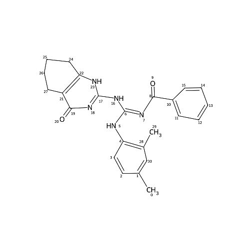 Cc1ccc(N/C(=N/C(=O)c2ccccc2)Nc2nc(=O)c3c([nH]2)CCCC3)c(C)c1